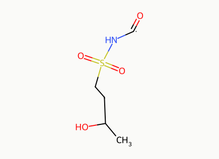 CC(O)CCS(=O)(=O)N[C]=O